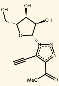 C#Cc1c(C(=O)OC)nnn1[C@@H]1O[C@H](CO)[C@@H](O)[C@H]1O